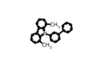 Cc1cccc2c3cccc(C)c3n(-c3cccc(-c4ccccc4)c3)c12